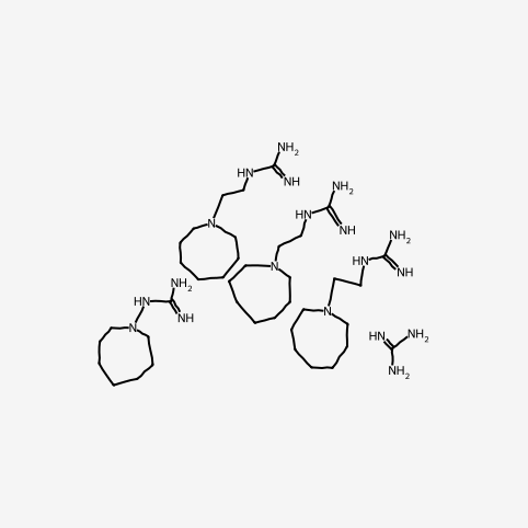 N=C(N)N.N=C(N)NCCN1CCCCCCC1.N=C(N)NCCN1CCCCCCC1.N=C(N)NCCN1CCCCCCC1.N=C(N)NN1CCCCCCC1